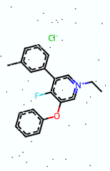 CC[n+]1cc(Oc2ccccc2)c(F)c(-c2cccc(C)c2)c1.[Cl-]